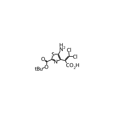 CC(C)(C)OC(=O)c1nc(C(C(=O)O)=C(Cl)Cl)c(N)s1